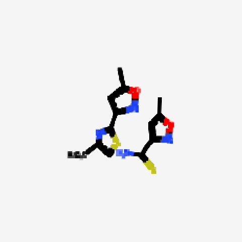 CCOC(=O)c1csc(-c2cc(C)on2)n1.Cc1cc(C(N)=S)no1